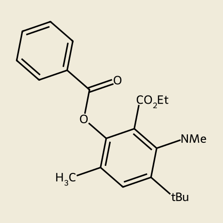 CCOC(=O)c1c(NC)c(C(C)(C)C)cc(C)c1OC(=O)c1ccccc1